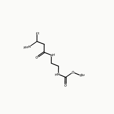 CCC(CC(=O)NCCNC(=O)OC(C)(C)C)NC